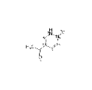 CC(=O)C1=CNN(Cl)C=C1